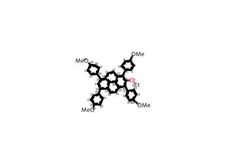 CCOc1c(-c2ccc(OC)cc2)c2ccc3c(-c4ccc(OC)cc4)cc(-c4ccc(OC)cc4)c4ccc(c1-c1ccc(OC)cc1)c2c34